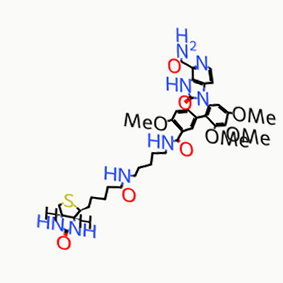 COc1ccc(-c2c(-n3c(=O)[nH]c4c(C(N)=O)nccc43)cc(OC)c(OC)c2OC)cc1C(=O)NCCCCCNC(=O)CCCC[C@@H]1SC[C@@H]2NC(=O)N[C@@H]21